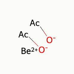 CC(=O)[O-].CC(=O)[O-].[Be+2]